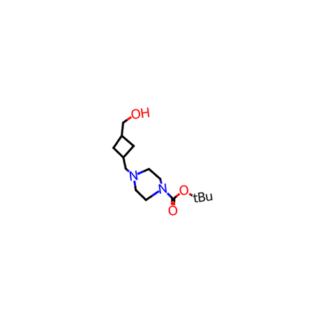 CC(C)(C)OC(=O)N1CCN(CC2CC(CO)C2)CC1